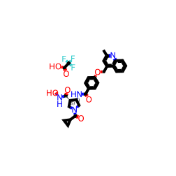 Cc1cc(COc2ccc(C(=O)N[C@@H]3CN(C(=O)C4CC4)C[C@@H]3C(=O)NO)cc2)c2ccccc2n1.O=C(O)C(F)(F)F